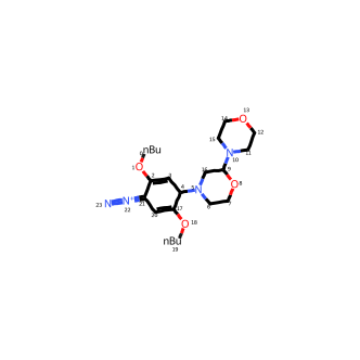 CCCCOC1=CC(N2CCOC(N3CCOCC3)C2)C(OCCCC)=CC1=[N+]=[N-]